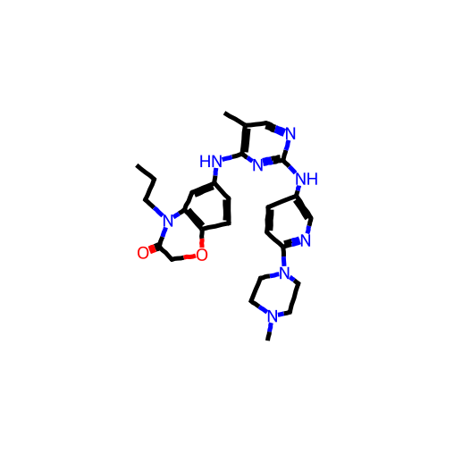 CCCN1C(=O)COc2ccc(Nc3nc(Nc4ccc(N5CCN(C)CC5)nc4)ncc3C)cc21